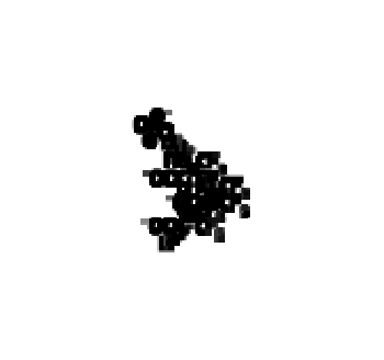 O=C([O-])C(O)(C(F)(F)F)C(F)(F)F.O=C([O-])C(O)(C(F)(F)F)C(F)(F)F.O=C([O-])C(O)(C(F)(F)F)C(F)(F)F.O=P([O-])([O-])[O-].[Li+].[Li+].[Li+].[Li+].[Li+].[Li+]